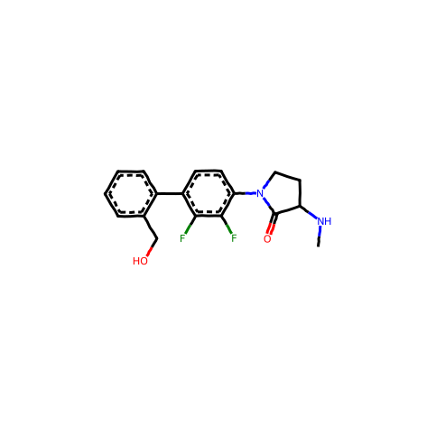 CNC1CCN(c2ccc(-c3ccccc3CO)c(F)c2F)C1=O